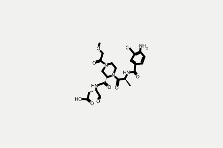 COCC(=O)N1CCN(C(=O)[C@H](C)NC(=O)c2ccc(N)c(Cl)c2)[C@H](C(=O)N[C@H](C=O)CC(=O)O)C1